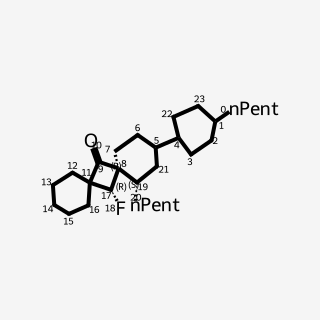 CCCCCC1CCC(C2CC[C@]3(C(=O)C4(CCCCC4)[C@H]3F)[C@@H](CCCCC)C2)CC1